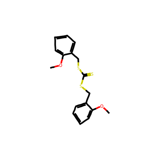 COc1ccccc1CSC(=S)SCc1ccccc1OC